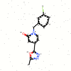 Cc1nnc(-c2ccn(Cc3cccc(F)c3)c(=O)c2)o1